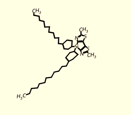 CCCCCCCCCCCCC1CCC([Si]2(C3CCC(CCCCCCCCCCCC)CC3)c3nc(C)sc3-c3sc(C)nc32)CC1